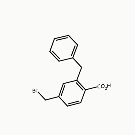 O=C(O)c1ccc(CBr)cc1Cc1ccccc1